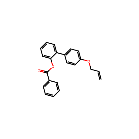 C=CCOc1ccc(-c2ccccc2OC(=O)c2ccccc2)cc1